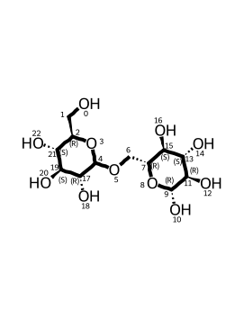 OC[C@H]1OC(OC[C@H]2O[C@@H](O)[C@H](O)[C@@H](O)[C@@H]2O)[C@H](O)[C@@H](O)[C@@H]1O